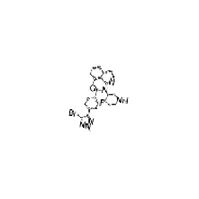 Cc1cccc2ccnc(N(C(=O)c3ccc(-c4nn(C)nc4Br)cc3F)[C@@H]3CCCNC3)c12